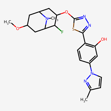 COC1CC2CC(Oc3nnc(-c4ccc(-n5ccc(C)n5)cc4O)s3)C(F)C(C1)N2C